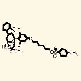 Cc1ccc(S(=O)(=O)OCCCCCCOc2cc(F)c([C@@H]3c4[nH]c5ccccc5c4C[C@@H](C)N3CC(C)(C)F)c(F)c2)cc1